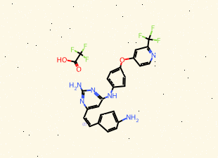 Nc1ccc(/C=C\c2cc(Nc3ccc(Oc4ccnc(C(F)(F)F)c4)cc3)nc(N)n2)cc1.O=C(O)C(F)(F)F